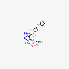 COC[C@@]1(C)Nc2c(cnc3[nH]cc(C(=O)c4ccc(Oc5ccccc5)cc4F)c23)NC1=O